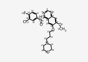 COc1cc2ncnc([NH+]([O-])c3ccc(F)c(Cl)c3)c2cc1OCCCN1CCOCC1